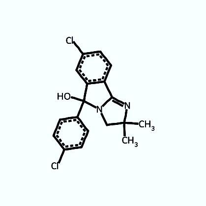 CC1(C)CN2C(=N1)c1ccc(Cl)cc1C2(O)c1ccc(Cl)cc1